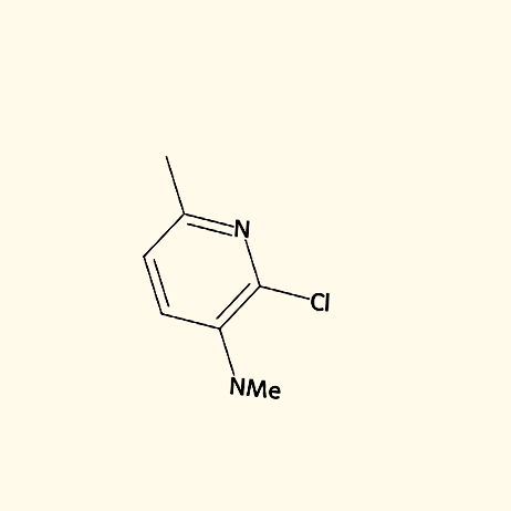 CNc1ccc(C)nc1Cl